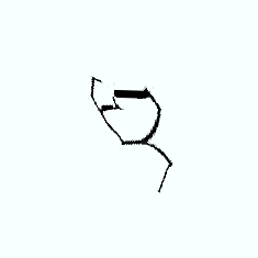 CCC1CC#[SH]2C=C(CC2)C1